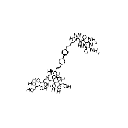 N=C(NCCCCc1ccc(C2CCC(CCC(=O)NCCN(C[C@H](O)[C@@H](O)[C@H](O)[C@H](O)CO)C[C@H](O)[C@@H](O)[C@H](O)[C@H](O)CO)CC2)cc1)NC(=O)c1nc(Cl)c(N)nc1N